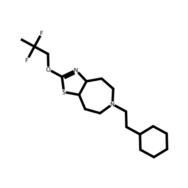 CC(F)(F)COC1=NC2CCN(CCC3CCCCC3)CCC2S1